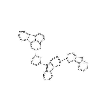 c1cc(-c2cc3c4c(cccc4c2)-c2ccccc2-3)cc(-n2c3ccccc3c3cc(-c4ccc5sc6ccccc6c5c4)ccc32)c1